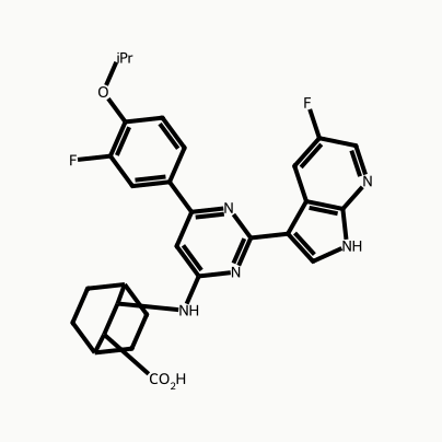 CC(C)Oc1ccc(-c2cc(NC3C4CCC(CC4)C3C(=O)O)nc(-c3c[nH]c4ncc(F)cc34)n2)cc1F